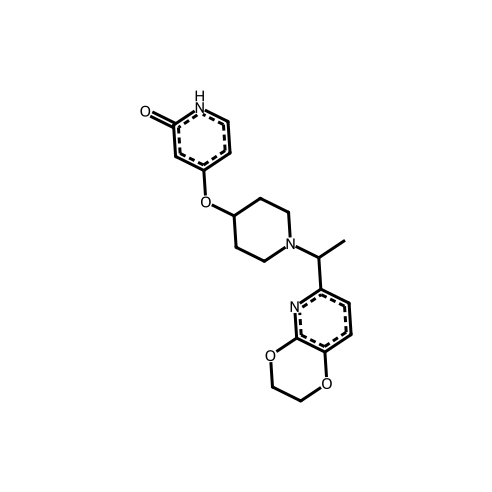 CC(c1ccc2c(n1)OCCO2)N1CCC(Oc2cc[nH]c(=O)c2)CC1